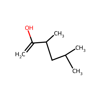 C=C(O)C(C)CC(C)C